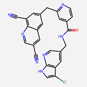 N#Cc1cnc2c(C#N)cc(Cc3cc(C(=O)NCc4cnc5[nH]cc(Cl)c5c4)ccn3)cc2c1